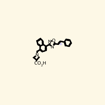 O=C(O)C1CN(Cc2ccc(-c3noc(/C=C/c4ccccc4)n3)c3ccccc23)C1